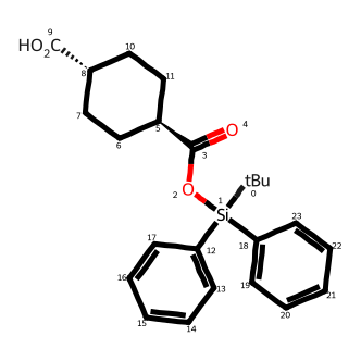 CC(C)(C)[Si](OC(=O)[C@H]1CC[C@H](C(=O)O)CC1)(c1ccccc1)c1ccccc1